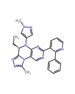 CC[C@@H]1c2nnc(C)n2-c2cnc(-c3cccnc3-c3ccccc3)nc2N1c1cnn(C)c1